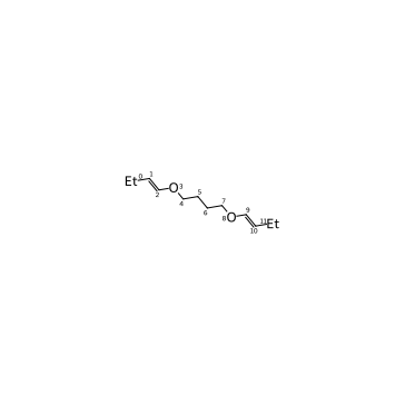 CCC=COCCCCOC=CCC